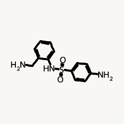 NCc1ccccc1NS(=O)(=O)c1ccc(N)cc1